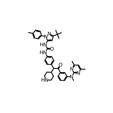 Cc1ccc(-n2nc(C(C)(C)C)cc2NC(=O)Nc2ccc(C(C(=O)c3cccc(N(C)c4nc(C)cc(C)n4)c3)C3CCNCC3)cc2)cc1